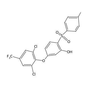 Cc1ccc(S(=O)(=O)c2ccc(Oc3c(Cl)cc(C(F)(F)F)cc3Cl)cc2O)cc1